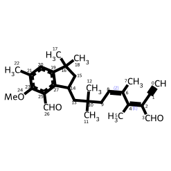 C#C/C(C=O)=C(C)\C(C)=C/CC(C)(C)CC1CC(C)(C)c2cc(C)c(OC)c(C=O)c21